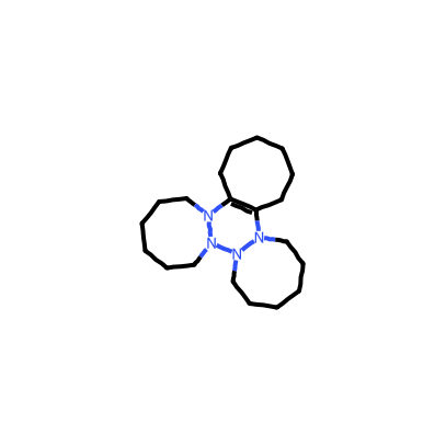 C1CCCc2c(n3n(n4n2CCCCCC4)CCCCCC3)CC1